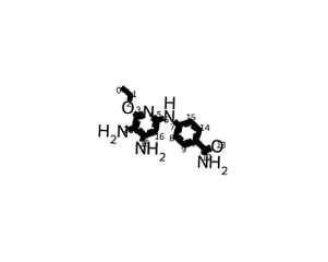 CCOc1nc(Nc2ccc(C(N)=O)cc2)cc(N)c1N